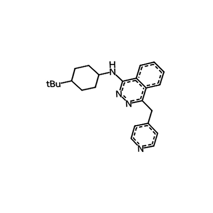 CC(C)(C)C1CCC(Nc2nnc(Cc3ccncc3)c3ccccc23)CC1